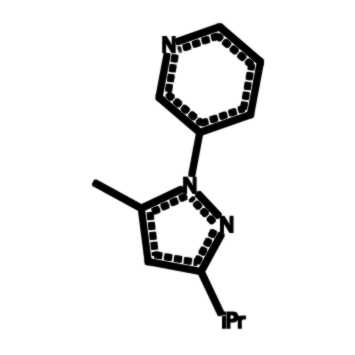 Cc1cc(C(C)C)nn1-c1cccnc1